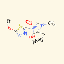 CCOc1nnc([N+]2([O-])CN(C)C(COC)C2O)s1